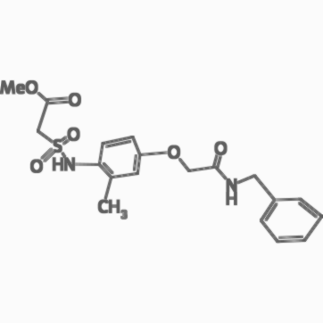 COC(=O)CS(=O)(=O)Nc1ccc(OCC(=O)NCc2ccccc2)cc1C